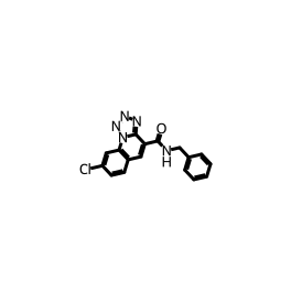 O=C(NCc1ccccc1)c1cc2ccc(Cl)cc2n2nnnc12